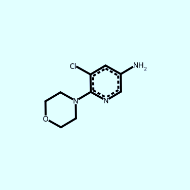 Nc1cnc(N2CCOCC2)c(Cl)c1